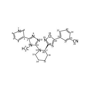 Cn1c(-c2cccnc2)nnc1N1CCCC[C@@H]1c1cc(-c2cccc(C#N)c2)on1